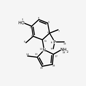 CC1=C(O)C=CC(C)(P(C)C)C1n1c(C)ccc1N